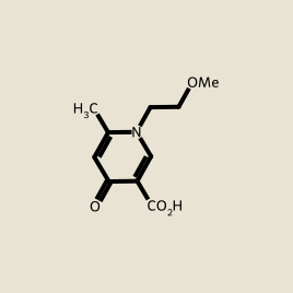 COCCn1cc(C(=O)O)c(=O)cc1C